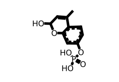 CC1=CC(O)Oc2cc(OP(=O)(O)O)ccc21